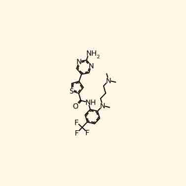 CN(C)CCCN(C)c1ccc(C(F)(F)F)cc1NC(=O)c1cc(-c2cnc(N)nc2)cs1